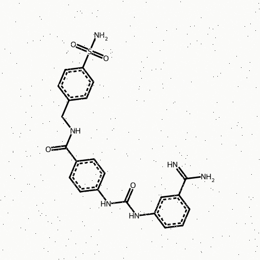 N=C(N)c1cccc(NC(=O)Nc2ccc(C(=O)NCc3ccc(S(N)(=O)=O)cc3)cc2)c1